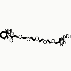 CCCCCCCCCCn1cc(COCCOCCOCCOCCOCCC(=O)NC2(C)CCCCC2(C)N)nn1